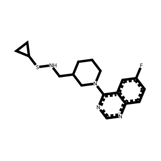 Fc1ccc2ncnc(N3CCCC(CNSC4CC4)C3)c2c1